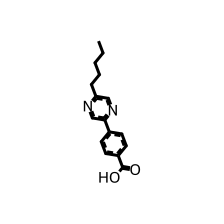 CCCCCc1cnc(-c2ccc(C(=O)O)cc2)cn1